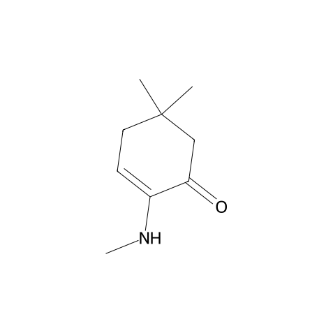 CNC1=CCC(C)(C)CC1=O